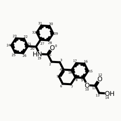 O=C(CCC1=CCCc2c(OC(=O)CO)cccc21)NC(c1ccccc1)c1ccccc1